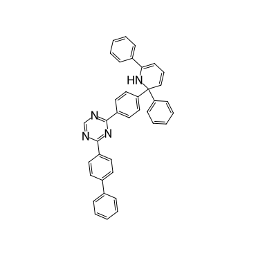 C1=CC(c2ccccc2)(c2ccc(-c3ncnc(-c4ccc(-c5ccccc5)cc4)n3)cc2)NC(c2ccccc2)=C1